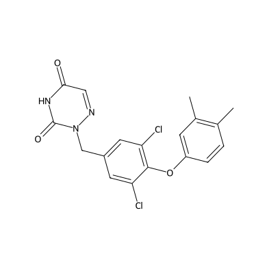 Cc1ccc(Oc2c(Cl)cc(Cn3ncc(=O)[nH]c3=O)cc2Cl)cc1C